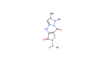 [2H]N1C(C(C)(C)C)C=C2NC3=C(CN([C@@H](C)C(C)C)C3=O)C(=O)N21